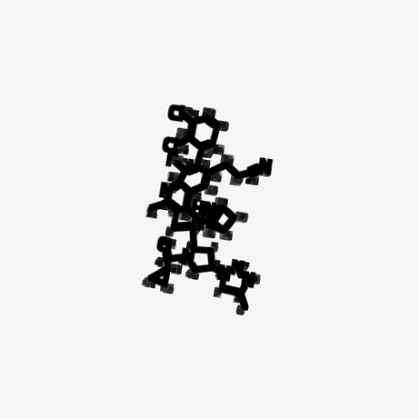 Cc1cn(C2CC(c3cc4c(C)nc5c(F)c(-c6cccc(Cl)c6Cl)c(CCC#N)cc5c4n3C3C4CNC3C4)N(C(=O)C3CC3)C2)nn1